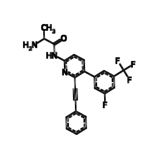 CC(N)C(=O)Nc1ccc(-c2cc(F)cc(C(F)(F)F)c2)c(C#Cc2ccccc2)n1